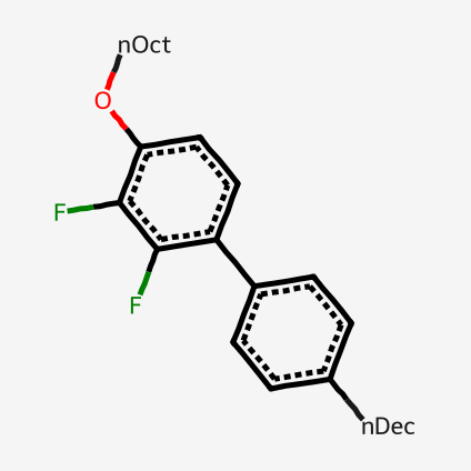 CCCCCCCCCCc1ccc(-c2ccc(OCCCCCCCC)c(F)c2F)cc1